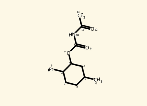 CC1CCC(C(C)C)C(OC(=O)NC(=O)C(F)(F)F)C1